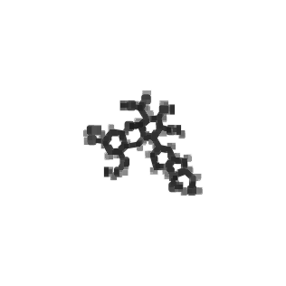 COc1ccc(Cn2c(-c3ccc4c(c3)cc(C=O)n4C)c(C)c(O)c(C(=O)O)c2=O)c(OC)c1